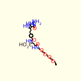 C#CCOCCOCCOCCOCCNC(=O)CC[C@H](NC(=O)c1ccc(CCc2c[nH]c3[nH]c(N)nc(=O)c23)cc1)C(=O)O